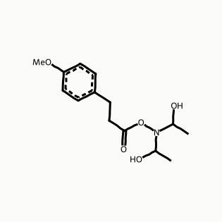 COc1ccc(CCC(=O)ON(C(C)O)C(C)O)cc1